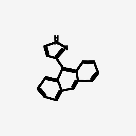 c1ccc2c(-c3cc[nH]n3)c3ccccc3cc2c1